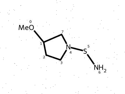 COC1CCN(SN)C1